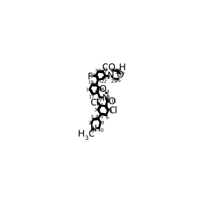 CN1CC=C(c2cc(Cl)c(C(=O)N3COc4c(cccc4-c4cc(N5CCOCC5)c(C(=O)O)cc4F)C3)c(Cl)c2)CC1